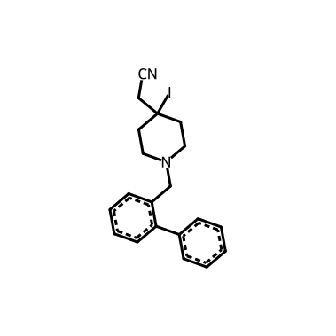 N#CCC1(I)CCN(Cc2ccccc2-c2ccccc2)CC1